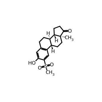 C[C@]12CC[C@@H]3c4cc(S(C)(=O)=O)c(O)cc4CC[C@H]3[C@@H]1CCC2=O